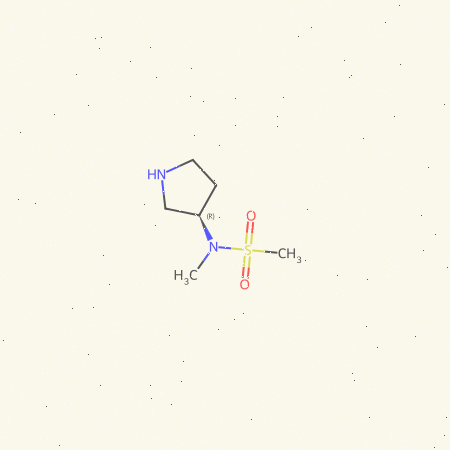 CN([C@@H]1CCNC1)S(C)(=O)=O